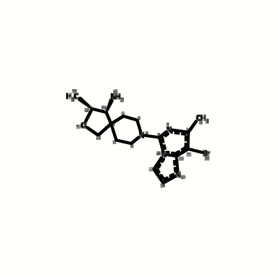 Cc1nc(N2CCC3(CC2)CO[C@@H](C)[C@H]3N)n2ccnc2c1Br